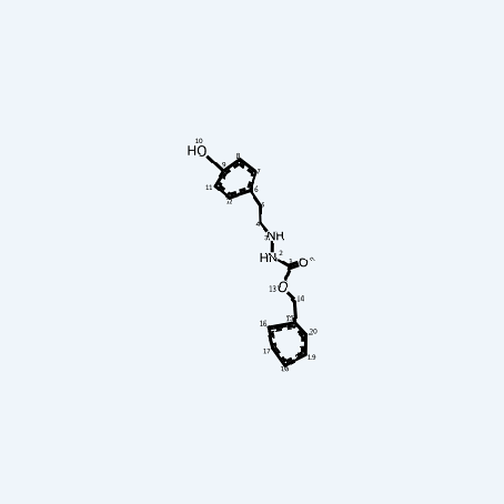 O=C(NNCCc1ccc(O)cc1)OCc1ccccc1